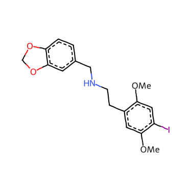 COc1cc(CCNCc2ccc3c(c2)OCO3)c(OC)cc1I